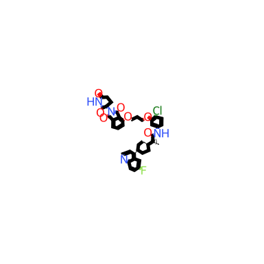 C[C@@H](C(=O)Nc1ccc(Cl)c(OCCCOc2cccc3c2C(=O)N(C2CCC(=O)NC2=O)C3=O)c1)[C@H]1CC[C@@H](c2ccnc3ccc(F)cc32)CC1